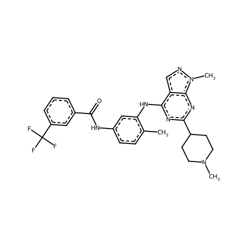 Cc1ccc(NC(=O)c2cccc(C(F)(F)F)c2)cc1Nc1nc(C2CCN(C)CC2)nc2c1cnn2C